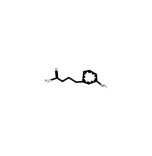 CC(=O)CCCc1cccc(N)c1